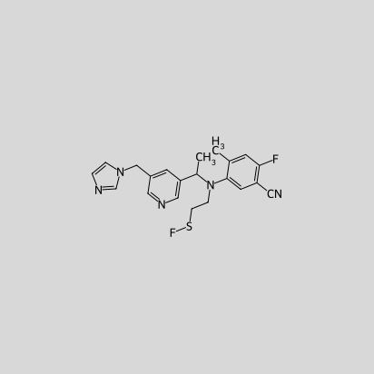 Cc1cc(F)c(C#N)cc1N(CCSF)C(C)c1cncc(Cn2ccnc2)c1